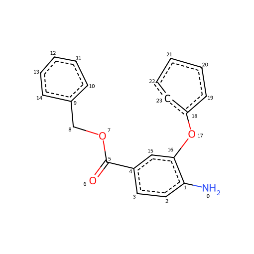 Nc1ccc(C(=O)OCc2ccccc2)cc1Oc1ccccc1